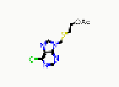 CC(=O)OCCSCn1cnc2c(Cl)ncnc21